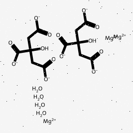 O.O.O.O.O=C([O-])CC(O)(CC(=O)[O-])C(=O)[O-].O=C([O-])CC(O)(CC(=O)[O-])C(=O)[O-].[Mg+2].[Mg+2].[Mg+2]